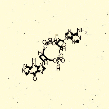 Nc1ncnc2c1ncn2[C@@H]1O[C@@H]2CO[P@](=O)(S)OC[C@@H]3[C@@H](CO[P@@](=O)(S)O[C@H]2[C@H]1F)C[C@H]3n1cnc2c(=O)n3cnnc3[nH]c21